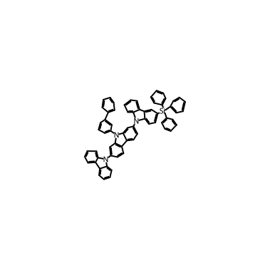 c1ccc(-c2cccc(-n3c4cc(-n5c6ccccc6c6ccccc65)ccc4c4ccc(-n5c6ccccc6c6cc([Si](c7ccccc7)(c7ccccc7)c7ccccc7)ccc65)cc43)c2)cc1